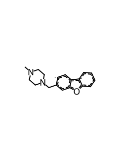 CN1CCN(Cc2[c]cc3c(c2)oc2ccccc23)CC1